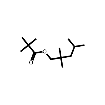 CC(C)CC(C)(C)COC(=O)C(C)(C)C